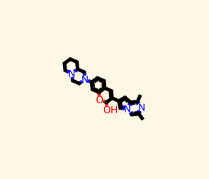 Cc1cn2cc(C3=Cc4ccc(N5CCN6CCCCC6C5)cc4OC3O)cc2c(C)n1